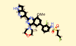 COc1cc(-c2cccc(NS(=O)(=O)CCCF)c2F)cc2c(N3CCOC[C@H]3C)nc(-c3cnc4[nH]ccc4c3)nc12